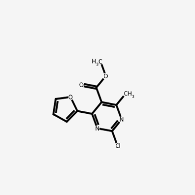 COC(=O)c1c(C)nc(Cl)nc1-c1ccco1